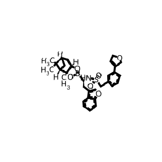 CC1(C)[C@@H]2C[C@H]3OB([C@H](Cc4coc5ccccc45)NS(=O)(=O)Cc4cccc(C5=CCOC5)c4)O[C@@]3(C)[C@H]1C2